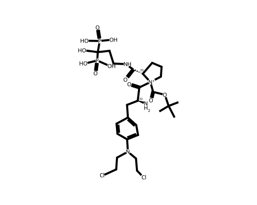 CC(C)(C)OC(=O)[N+]1(C(=O)[C@@H](N)Cc2ccc(N(CCCl)CCCl)cc2)CCC[C@H]1C(=O)NCCC(O)(P(=O)(O)O)P(=O)(O)O